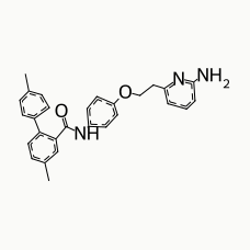 Cc1ccc(-c2ccc(C)cc2C(=O)Nc2ccc(OCCc3cccc(N)n3)cc2)cc1